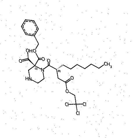 CCCCCCC[C@H](CC(=O)OCC(Cl)(Cl)Cl)C(=O)N1CCNC[C@]1(C(=O)O)C(=O)OCc1ccccc1